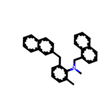 Cc1cccc(Cc2ccc3ccccc3c2)c1N(C)Cc1cccc2ccccc12